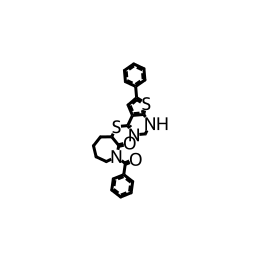 O=C(c1ccccc1)N1CCCCC(SC2=NCNc3sc(-c4ccccc4)cc32)C1=O